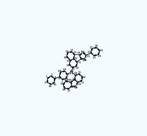 c1ccc(-c2ccc(N(c3cc4c5c(cccc5c3)-c3nc(-c5ccccc5)sc3-4)c3cccc4sc5ccccc5c34)cc2)cc1